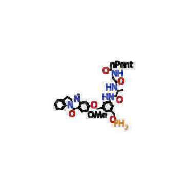 C=Nc1cc(OCc2cc(COP)cc(NC(=O)C(C)NC(=O)CNC(=O)CCCCC)c2)c(OC)cc1C(=O)N1CCc2ccccc21